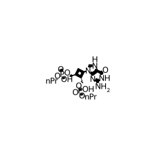 CCCOP(=O)(O)OC[C@H]1C[C@@H](N2CNc3c2nc(N)[nH]c3=O)[C@@H]1COP(=O)(O)OCCC